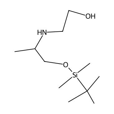 CC(CO[Si](C)(C)C(C)(C)C)NCCO